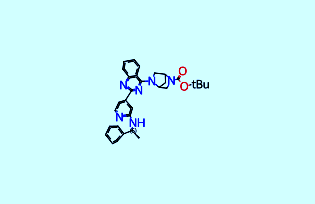 C[C@H](Nc1cc(-c2nc(N3CC4CC3CN4C(=O)OC(C)(C)C)c3ccccc3n2)ccn1)c1ccccc1